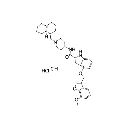 COc1cccc2c(COc3cccc4[nH]c(C(=O)NC5CCN(C[C@@H]6CCCN7CCCC[C@H]67)CC5)cc34)coc12.Cl.Cl